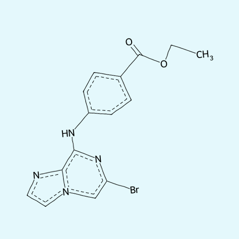 CCOC(=O)c1ccc(Nc2nc(Br)cn3ccnc23)cc1